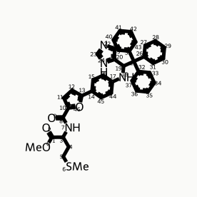 COC(=O)C(CCSC)NC(=O)c1ccc(-c2ccc(NC(c3cnc[nH]3)C(c3ccccc3)(c3ccccc3)c3ccccc3)cc2)o1